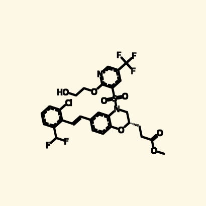 COC(=O)CC[C@H]1CN(S(=O)(=O)c2cc(C(F)(F)F)cnc2OCCO)c2cc(/C=C/c3c(Cl)cccc3C(F)F)ccc2O1